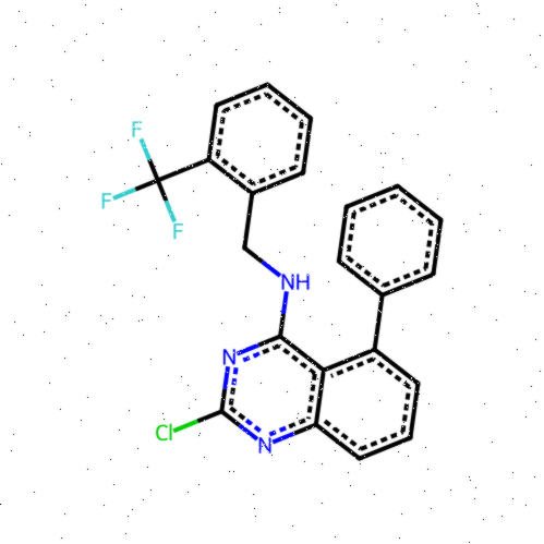 FC(F)(F)c1ccccc1CNc1nc(Cl)nc2cccc(-c3ccccc3)c12